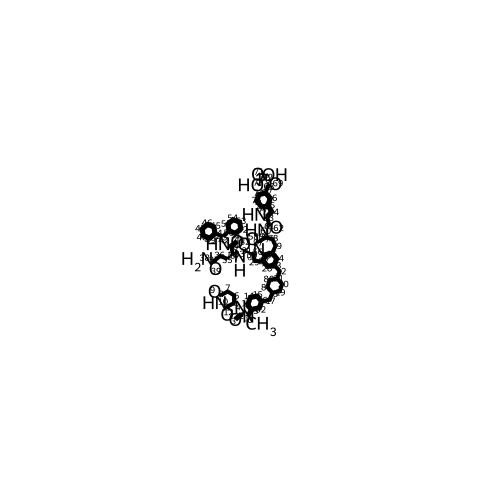 Cn1c(=O)n(C2CCC(=O)NC2=O)c2ccc(CC3CCC(Cc4cc5c6c(c4)C[C@@H](C(=O)N[C@@H](CCC(N)=O)C(=O)NC(c4ccccc4)c4ccccc4)N6C(=O)[C@@H](NC(=O)c4cc6cc(C(=O)P(=O)(O)O)ccc6[nH]4)CC5)CC3)cc21